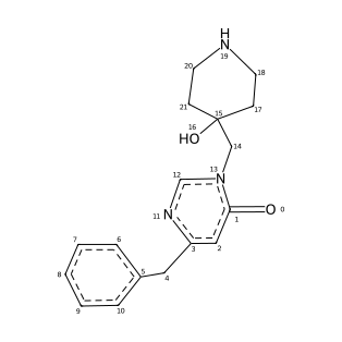 O=c1cc(Cc2ccccc2)ncn1CC1(O)CCNCC1